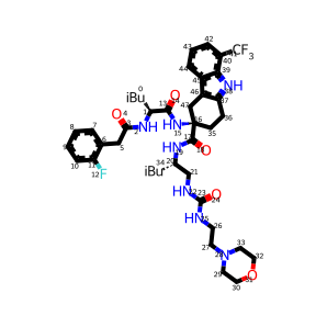 CCC(C)[C@H](NC(=O)Cc1ccccc1F)C(=O)N[C@]1(C(=O)N[C@H](CNC(=O)NCCN2CCOCC2)C(C)CC)CCc2[nH]c3c(C(F)(F)F)cccc3c2C1